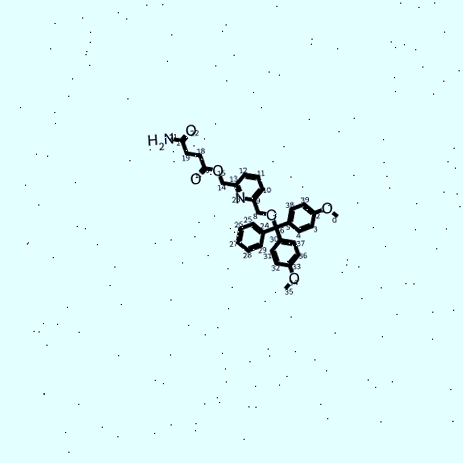 COc1ccc(C(OCc2cccc(COC(=O)CCC(N)=O)n2)(c2ccccc2)c2ccc(OC)cc2)cc1